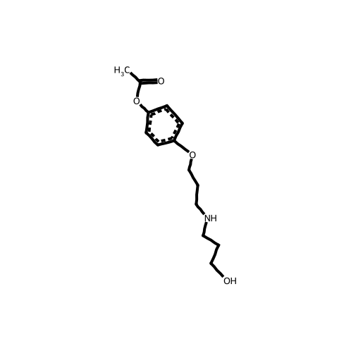 CC(=O)Oc1ccc(OCCCNCCCO)cc1